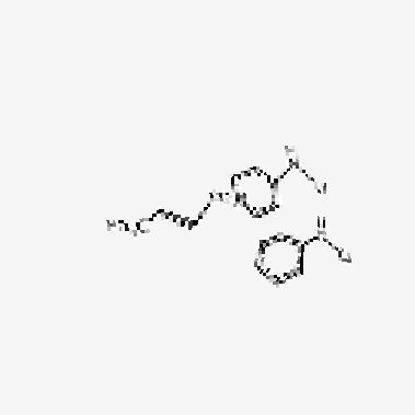 ClNc1ccccc1.ClNc1ccccc1.O=C(O)C=CC(=O)O